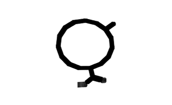 CC1CCCCCCCCCC(C(=O)O)CCCC1